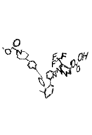 COC(=O)N1CCC(c2ccc(COc3c(C)cccc3-c3cccc(-n4ncc(OC(=O)O)c4C(F)(F)F)n3)cc2)CC1